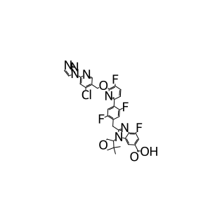 CC1(C)COCC1n1c(Cc2cc(F)c(-c3ccc(F)c(OCc4cnc(-n5ccnn5)cc4Cl)n3)cc2F)nc2c(F)cc(C(=O)O)cc21